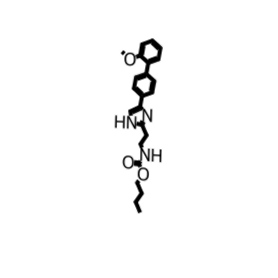 CCCCOC(=O)NCCc1nc(-c2ccc(-c3ccccc3OC)cc2)c[nH]1